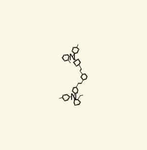 CCc1ccccc1N(c1ccc(C)cc1)c1ccc(C=Cc2cccc(C=Cc3ccc(N(c4ccc(C)cc4)c4ccccc4C)cc3)c2)cc1